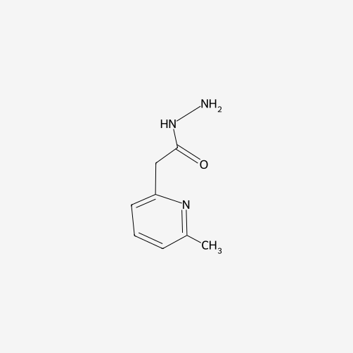 Cc1cccc(CC(=O)NN)n1